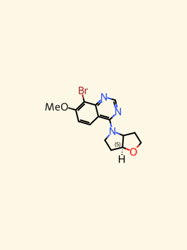 COc1ccc2c(N3CC[C@@H]4OCCC43)ncnc2c1Br